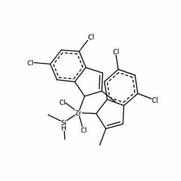 CC1=Cc2c(Cl)cc(Cl)cc2[CH]1[Zr]([Cl])([Cl])([CH]1C(C)=Cc2c(Cl)cc(Cl)cc21)[SiH](C)C